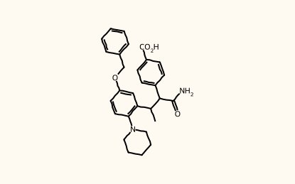 CC(c1cc(OCc2ccccc2)ccc1N1CCCCC1)C(C(N)=O)c1ccc(C(=O)O)cc1